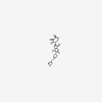 Cc1ccc(CCN2CCC(c3c(F)cc4c(c3F)CN(C3CCC(=O)NC3=O)C4=O)CC2)cc1